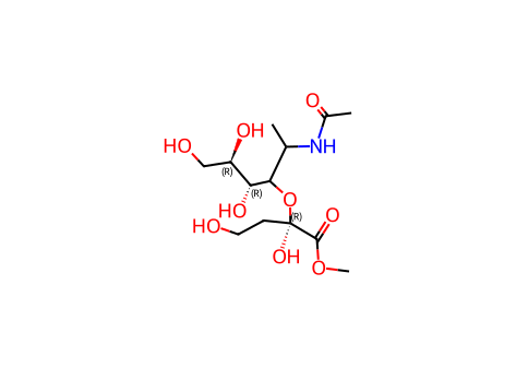 COC(=O)[C@@](O)(CCO)OC(C(C)NC(C)=O)[C@H](O)[C@H](O)CO